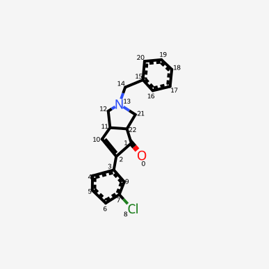 O=C1C(c2cccc(Cl)c2)=CC2CN(Cc3ccccc3)CC12